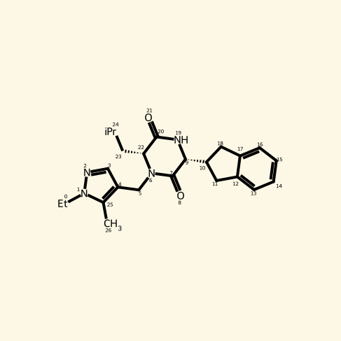 CCn1ncc(CN2C(=O)[C@@H](C3Cc4ccccc4C3)NC(=O)[C@H]2CC(C)C)c1C